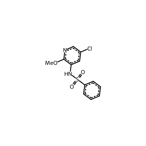 COc1ncc(Cl)cc1NS(=O)(=O)c1ccccc1